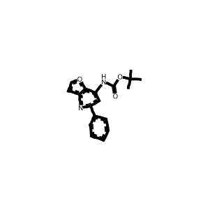 CC(C)(C)OC(=O)Nc1cc(-c2ccccc2)nc2ccoc12